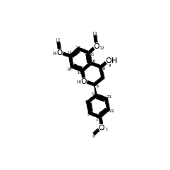 COc1ccc([C@@H]2CC(O)c3c(OC)cc(OC)cc3O2)cc1